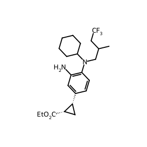 CCOC(=O)[C@H]1C[C@H]1c1ccc(N(CC(C)CC(F)(F)F)C2CCCCC2)c(N)c1